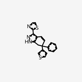 C1=CC(c2ccccc2)(c2ccsc2)Cc2[nH]nc(-c3nccs3)c21